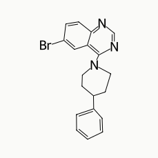 Brc1ccc2ncnc(N3CCC(c4ccccc4)CC3)c2c1